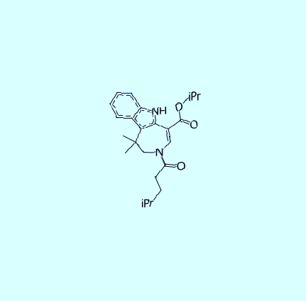 CC(C)CCC(=O)N1C=C(C(=O)OC(C)C)c2[nH]c3ccccc3c2C(C)(C)C1